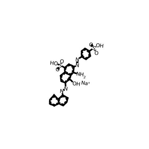 Nc1c(N=Nc2ccc(S(=O)(=O)O)cc2)cc(S(=O)(=O)O)c2ccc(N=Nc3cccc4ccccc34)c(O)c12.[Na+]